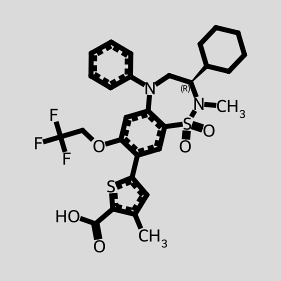 Cc1cc(-c2cc3c(cc2OCC(F)(F)F)N(c2ccccc2)C[C@@H](C2CCCCC2)N(C)S3(=O)=O)sc1C(=O)O